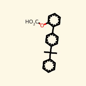 CC(C)(c1ccccc1)c1ccc(-c2ccccc2OC(=O)O)cc1